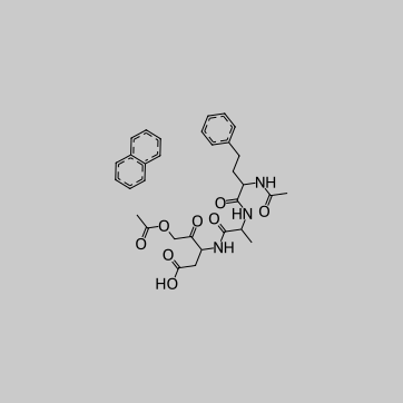 CC(=O)NC(CCc1ccccc1)C(=O)NC(C)C(=O)NC(CC(=O)O)C(=O)COC(C)=O.c1ccc2ccccc2c1